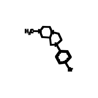 CN1CCN2CCN(c3ccc(Br)cc3)CC2C1